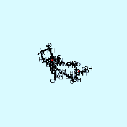 CC[C@H]1c2cc3[nH]c4c(c3C)C(=O)C(C(=O)OC)c4c3nc(cc4[nH]c(cc(n2)[C@@H]1C)c(C(C)=O)c4C)[C@@H](C)[C@@H]3CCC(=O)NC(Cc1ccc(N(CCCl)CCCl)cc1)C(=O)NCCNC(=O)OCCSSC[C@H](NC(=O)[C@H](CC(=O)NCCS(=O)(=O)O)NC(=O)CC[C@H](NC(=O)c1ccc(NCc2cnc3nc(N)[nH]c(=O)c3n2)cc1)C(=O)O)C(=O)O